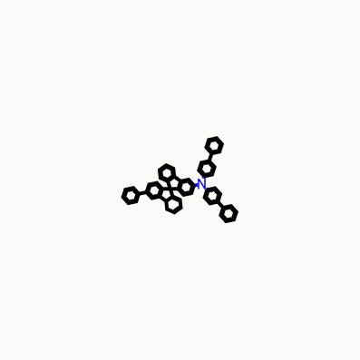 C1=CCC2C(=C1)C1(c3ccccc3-c3cc(N(c4ccc(-c5ccccc5)cc4)c4ccc(-c5ccccc5)cc4)ccc31)c1ccc(-c3ccccc3)cc12